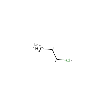 CCCCl.[Li]